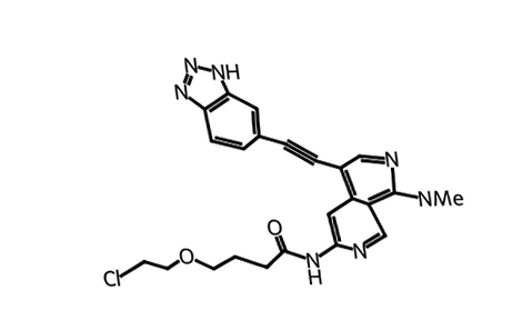 CNc1ncc(C#Cc2ccc3nn[nH]c3c2)c2cc(NC(=O)CCCOCCCl)ncc12